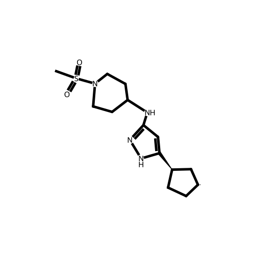 CS(=O)(=O)N1CCC(Nc2cc([C@H]3C[CH]CC3)[nH]n2)CC1